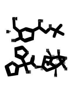 CC(C)(C)NCC(O)c1ccc(O)c(CO)c1.C[N+]1(C)[C@@H]2C[C@@H](OC(=O)C(O)(c3cccs3)c3cccs3)C[C@H]1[C@@H]1O[C@@H]12.[Br-]